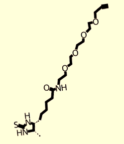 C#CCOCCOCCOCCOCCNC(=O)CCCCC[C@H]1NC(=S)N[C@H]1C